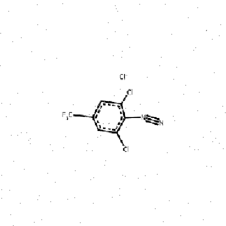 N#[N+]c1c(Cl)cc(C(F)(F)F)cc1Cl.[Cl-]